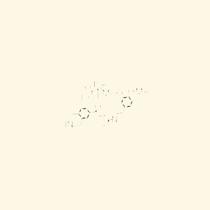 COc1ccc(CCN(C)C(=O)CCC(=O)c2ccc3c(c2)CCNCC3)cc1OC.O=C(O)C(F)(F)F